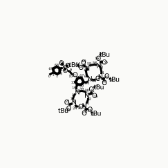 Cc1ccc(S(=O)(=O)OCCOc2cc(CN3CCN(C(=O)OC(C)(C)C)CCN(C(=O)OC(C)(C)C)CCN(C(=O)OC(C)(C)C)CC3)cc(CN3CCN(C(=O)OC(C)(C)C)CCN(C(=O)OC(C)(C)C)CCN(C(=O)OC(C)(C)C)CC3)c2)cc1